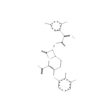 Nc1nc(/C(=N/O)C(=O)N[C@@H]2C(=O)N3C(C(=O)O)=C(Sc4cncc(Cl)c4Cl)CCC23)c(Cl)s1